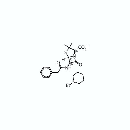 CC1(C)S[C@@H]2[C@H](NC(=O)Cc3ccccc3)C(=O)N2[C@H]1C(=O)O.CCN1CCCCC1